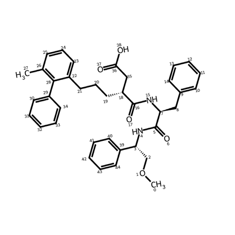 COC[C@@H](NC(=O)[C@H](Cc1ccccc1)NC(=O)[C@H](CCCc1cccc(C)c1-c1ccccc1)CC(=O)O)c1ccccc1